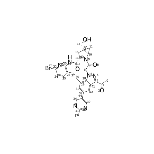 CC(=O)c1nn(CC(=O)N2C3C[C@]3(CO)C[C@H]2C(=O)Nc2nc(Br)ccc2C)c2c(C)cc(-c3cnc(C)nc3)cc12